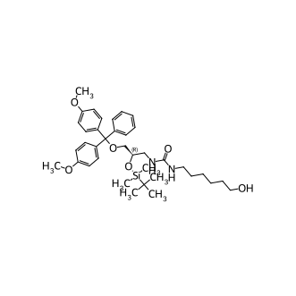 COc1ccc(C(OC[C@@H](CNC(=O)NCCCCCCO)O[Si](C)(C)C(C)(C)C)(c2ccccc2)c2ccc(OC)cc2)cc1